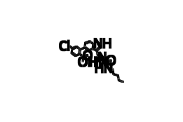 CCCCCNC(=O)N/N=C/c1c[nH]c2ccc(-c3cc(Cl)ccc3C(=O)O)cc12